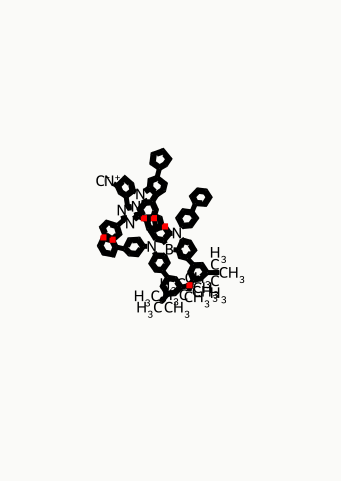 [C-]#[N+]c1ccc(-n2c3ccc(-c4cc5c6c(c4)N(c4ccc(-c7ccccc7)cc4)c4ccc(-c7cc(C(C)(C)C)cc(C(C)(C)C)c7)cc4B6c4cc(-c6cc(C(C)(C)C)cc(C(C)(C)C)c6)ccc4N5c4ccc(-c5ccccc5)cc4)cc3c3ccc(-c4ccccc4)cc32)c(-c2nc(-c3ccccc3)nc(-c3ccccc3)n2)c1